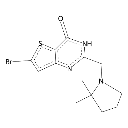 CC1(C)CCCN1Cc1nc2cc(Br)sc2c(=O)[nH]1